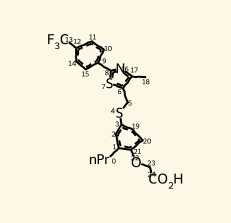 CCCc1cc(SCc2sc(-c3ccc(C(F)(F)F)cc3)nc2C)ccc1OCC(=O)O